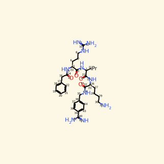 CC(C)C(NC(=O)[C@H](CCCNC(=N)N)NC(=O)Cc1ccccc1)C(=O)N[C@@H](CCCCN)C(=O)NCc1ccc(C(=N)N)cc1